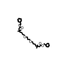 CC(C)(CCCCOCCCOCCCCC(C)(C)CC(=O)OCc1ccccc1)CC(=O)OCc1ccccc1